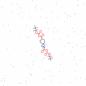 CC(C)(C)C(C)(C)OC(=O)OC(=O)C1CCC2(CC1)CN(C(=O)OC(=O)OC(C)(C)C(C)(C)C)C2